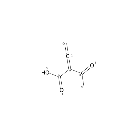 C=C=C(C(C)=O)C(=O)O